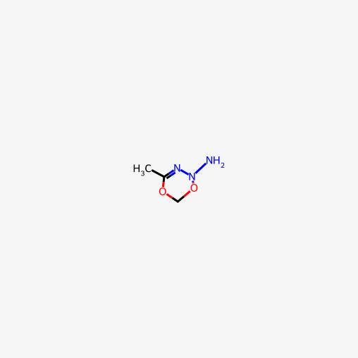 CC1=NN(N)OCO1